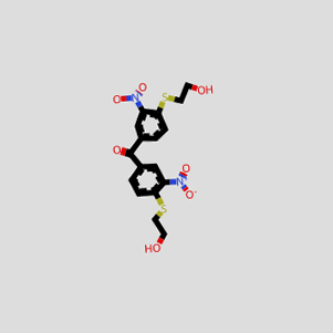 O=C(c1ccc(SCCO)c([N+](=O)[O-])c1)c1ccc(SCCO)c([N+](=O)[O-])c1